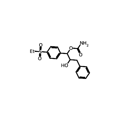 CCS(=O)(=O)c1ccc(C(OC(N)=O)C(O)Cc2ccccc2)cc1